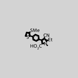 CCc1c(C#N)c(-c2ccc(-c3sccc3SC)cc2)c(C(=O)O)n1C